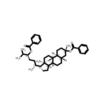 CC(C)[C@H](CC[C@@H](C)[C@H]1CC[C@H]2[C@@H]3CC[C@H]4C[C@@](C)(OC(=O)c5ccccc5)CC[C@@H]4[C@H]3CC[C@]12C)OC(=O)c1ccccc1